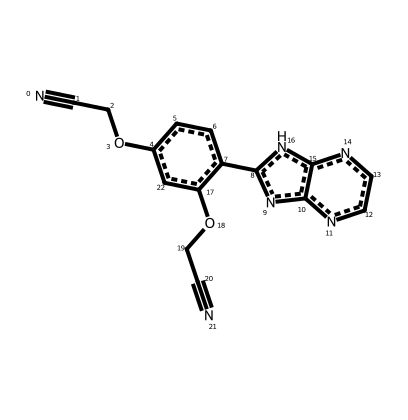 N#CCOc1ccc(-c2nc3nccnc3[nH]2)c(OCC#N)c1